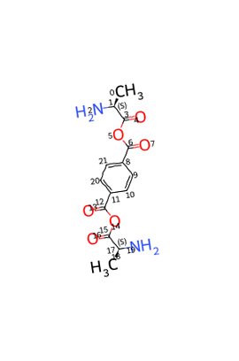 C[C@H](N)C(=O)OC(=O)c1ccc(C(=O)OC(=O)[C@H](C)N)cc1